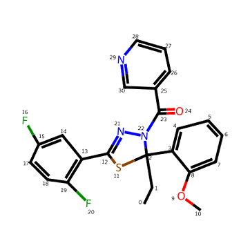 CCC1(c2ccccc2OC)SC(c2cc(F)ccc2F)=NN1C(=O)c1cccnc1